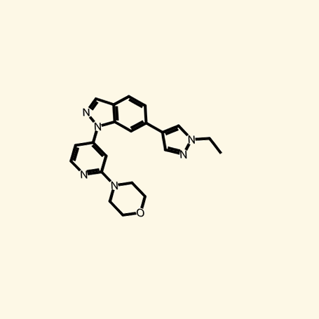 CCn1cc(-c2ccc3cnn(-c4ccnc(N5CCOCC5)c4)c3c2)cn1